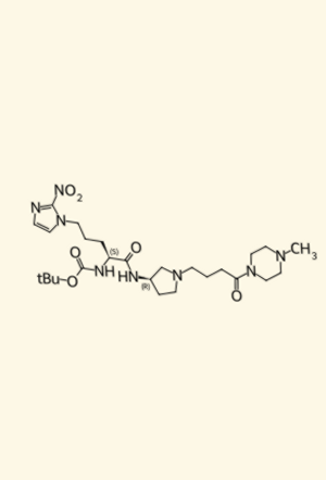 CN1CCN(C(=O)CCCN2CC[C@@H](NC(=O)[C@H](CCCn3ccnc3[N+](=O)[O-])NC(=O)OC(C)(C)C)C2)CC1